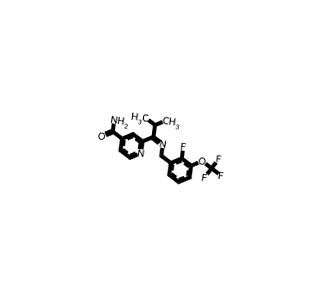 CC(C)C(=NCc1cccc(OC(F)(F)F)c1F)c1cc(C(N)=O)ccn1